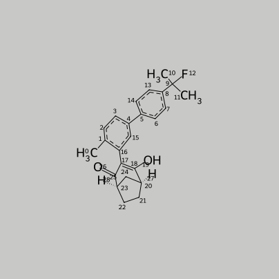 Cc1ccc(-c2ccc(C(C)(C)F)cc2)cc1C1=C(O)[C@H]2CC[C@H](C2)C1=O